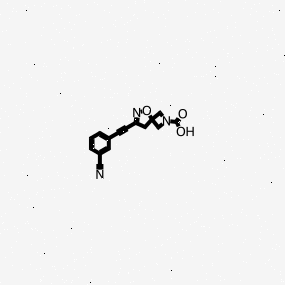 N#Cc1cccc(C#CC2=NOC3(C2)CN(C(=O)O)C3)c1